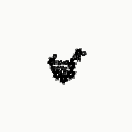 COc1nc(-c2cccc(-c3cccc(-c4ccc(CNC[C@@H]5CCC(=O)N5)c(OC)n4)c3Br)c2F)ccc1CNC[C@@H]1CCC(=O)N1